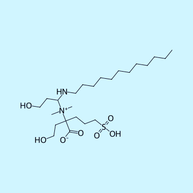 CCCCCCCCCCCCNC(CCO)[N+](C)(C)C(CCO)(CCCS(=O)(=O)O)C(=O)[O-]